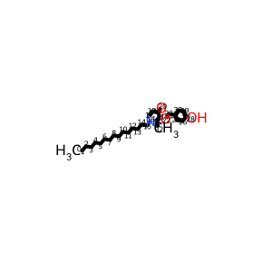 CCCCCCCCCCCCCCCCn1ccc(=O)c(OCc2ccc(O)cc2)c1C